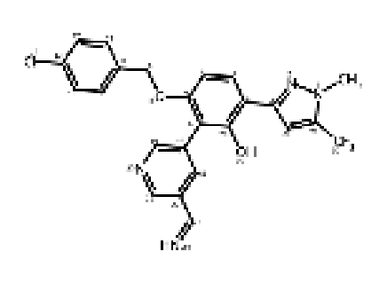 Cn1nc(-c2ccc(OCc3ccc(Cl)cc3)c(-c3cncc(C=N)c3)c2O)cc1C(F)(F)F